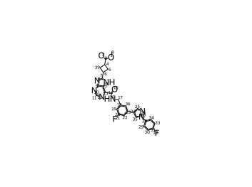 COC(=O)C1CC(c2nc3ncnc(C(=O)NCc4cc(F)cc(-c5cnn(-c6ccc(F)cc6)c5)c4)c3[nH]2)C1